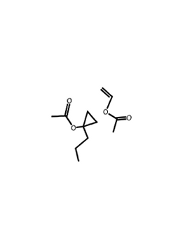 C=COC(C)=O.CCCC1(OC(C)=O)CC1